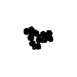 c1ccc(-c2ccc(N(c3ccc(-c4cccc5oc6ccc(-c7ccc8c(c7)c7ccccc7n8-c7ccccc7)cc6c45)cc3)c3ccc4c(c3)C3(c5ccccc5-c5ccccc53)c3ccccc3-4)cc2)cc1